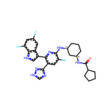 O=C(N[C@@H]1CCC[C@H](Nc2nc(-c3c[nH]c4c(F)cc(F)cc34)c(-c3nc[nH]n3)cc2F)C1)C1CCCC1